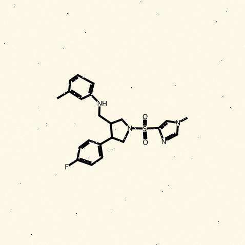 Cc1cccc(NCC2CN(S(=O)(=O)c3cn(C)cn3)CC2c2ccc(F)cc2)c1